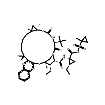 CC[C@@H]1[C@@H]2CN(C(=O)[C@H](C(C)(C)C)NC(=O)O[C@@H]3C[C@H]3CCCCC(F)(F)c3nc4ccccc4nc3O2)[C@@H]1C(=O)N[C@]1(C(=O)NS(=O)(=O)C2(C)CC2)C[C@H]1CC